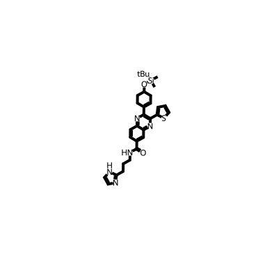 CC(C)(C)[Si](C)(C)OC1CC=C(c2nc3ccc(C(=O)NCCCc4ncc[nH]4)cc3nc2-c2cccs2)CC1